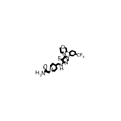 NC(=O)CN1CCC(CNc2ncnc(N3CCOC[C@@H]3C3CCC(C(F)(F)F)CC3)c2F)CC1